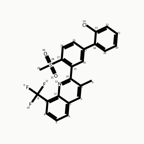 Cc1cc2cccc(C(F)(F)F)c2nc1-c1cc(-c2ccccc2Cl)ccc1S(C)(=O)=O